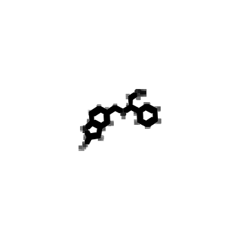 OC[C@H](SCc1ccc2sc(F)cc2c1)c1ccccc1